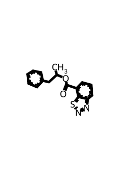 CC(Cc1ccccc1)OC(=O)c1cccc2nnsc12